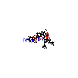 CC(C)(C)C(C1=C(O)CC(CCC2CC2)(CCC2CC2)OC1=O)c1cccc(NS(=O)(=O)c2ccc(C#N)cn2)c1